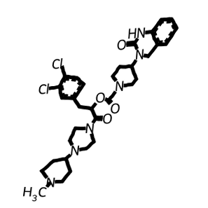 CN1CCC(N2CCN(C(=O)C(Cc3ccc(Cl)c(Cl)c3)OC(=O)N3CCC(N4Cc5ccccc5NC4=O)CC3)CC2)CC1